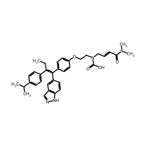 CCC(=C(c1ccc(OCCN(CC=CC(=O)N(C)C)C(=O)O)cc1)c1ccc2[nH]ncc2c1)c1ccc(C(C)C)cc1